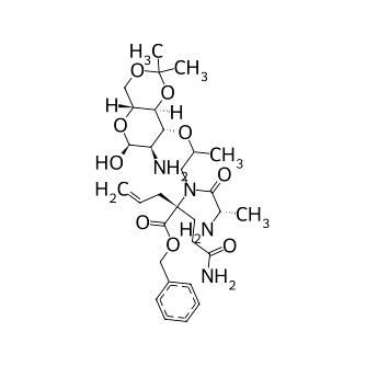 C=CC[C@@](CCC(N)=O)(C(=O)OCc1ccccc1)N(CC(C)O[C@@H]1[C@@H](N)[C@@H](O)O[C@@H]2COC(C)(C)O[C@@H]12)C(=O)[C@H](C)N